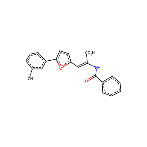 N#Cc1cccc(-c2ccc(/C=C(/NC(=O)c3ccccc3)C(=O)O)o2)c1